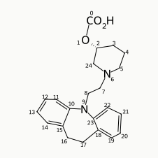 O=C(O)O[C@@H]1CCCN(CCN2c3ccccc3CCc3ccccc32)C1